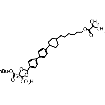 C=C(C)C(=O)OCCCCCCC1CCC(c2ccc(-c3ccc(C4O[C@@H](C(=O)O)[C@H](C(=O)OCCCC)O4)cc3)cc2)CC1